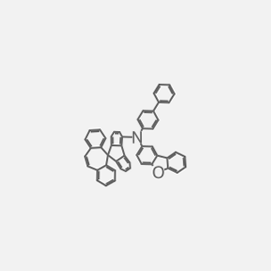 C1=Cc2ccccc2C2(c3ccccc31)c1ccccc1-c1c(N(c3ccc(-c4ccccc4)cc3)c3ccc4oc5ccccc5c4c3)cccc12